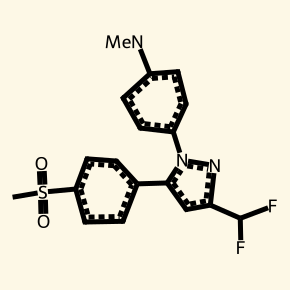 CNc1ccc(-n2nc(C(F)F)cc2-c2ccc(S(C)(=O)=O)cc2)cc1